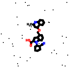 Cc1cc(OCc2cccc3c2cc(C(=O)O)n3-c2ccccc2C#N)c2ccccc2n1